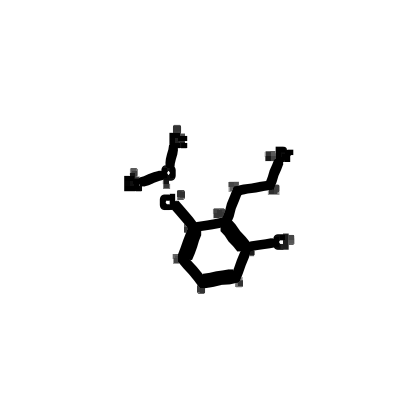 CCOCC.Clc1cccc(Cl)c1CCBr